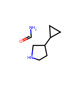 C1CC(C2CC2)CN1.NC=O